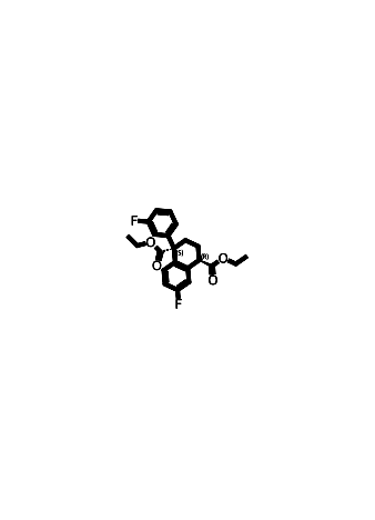 CCOC(=O)[C@@H]1CC[C@](C(=O)OCC)(c2cccc(F)c2)c2ccc(F)cc21